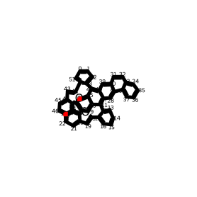 c1ccc(-c2c3ccccc3c(-c3ccccc3-c3cc4ccccc4o3)c3cc4c(ccc5ccccc54)cc23)c(-c2cc3ccccc3o2)c1